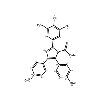 COC(=O)n1c(-c2cc(C)c(O)c(C)c2)nc(-c2ccc(C=O)cc2)c1-c1ccc(OC)cc1